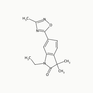 CCN1C(=O)C(C)(C)c2ccc(-c3nc(C)no3)cc21